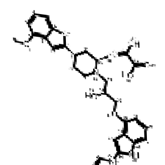 COc1cccc2sc([C@@H]3CCN(C[C@H](O)COc4cccc5[nH]c(NC=O)cc45)[C@H](C)C3)cc12.O=C(O)C(=O)O